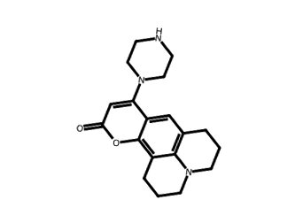 O=c1cc(N2CCNCC2)c2cc3c4c(c2o1)CCCN4CCC3